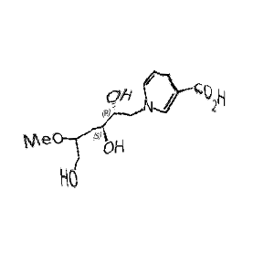 COC(CO)C[C@H](O)[C@H](O)CN1C=CCC(C(=O)O)=C1